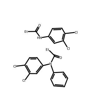 CCC(=O)N(c1ccccc1)c1ccc(Cl)c(Cl)c1.CCC(=O)Nc1ccc(Cl)c(Cl)c1